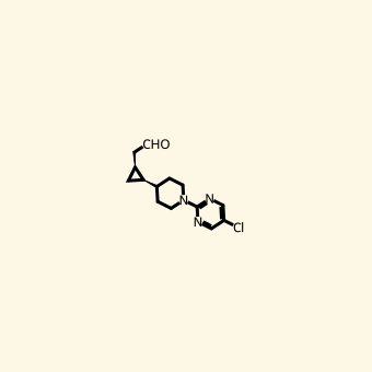 O=CC[C@@H]1C[C@@H]1C1CCN(c2ncc(Cl)cn2)CC1